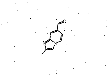 O=Cc1ccn2cc(I)nc2c1